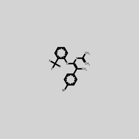 C=C(C)S/C(Oc1ccccc1C(F)(F)F)=C(\C)c1ccc(Br)cc1